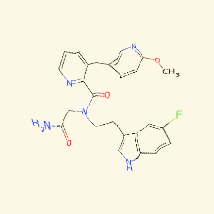 COc1ccc(-c2cccnc2C(=O)N(CCc2c[nH]c3ccc(F)cc23)CC(N)=O)cn1